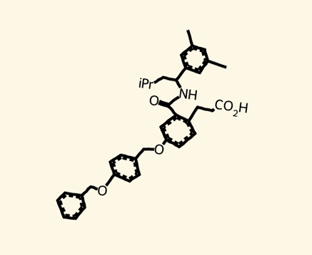 Cc1cc(C)cc(C(CC(C)C)NC(=O)c2cc(OCc3ccc(OCc4ccccc4)cc3)ccc2CCC(=O)O)c1